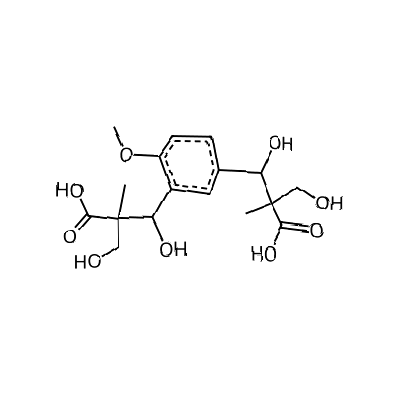 COc1ccc(C(O)C(C)(CO)C(=O)O)cc1C(O)C(C)(CO)C(=O)O